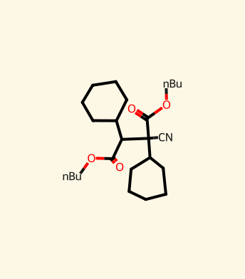 CCCCOC(=O)C(C1CCCCC1)C(C#N)(C(=O)OCCCC)C1CCCCC1